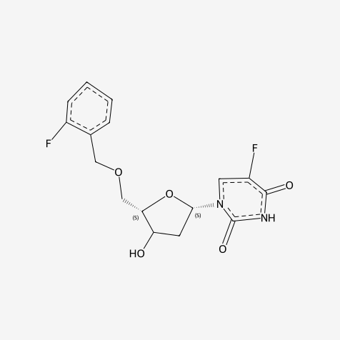 O=c1[nH]c(=O)n([C@@H]2CC(O)[C@H](COCc3ccccc3F)O2)cc1F